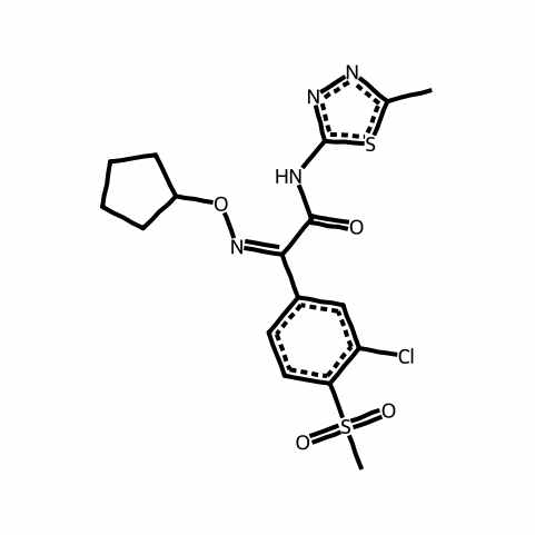 Cc1nnc(NC(=O)C(=NOC2CCCC2)c2ccc(S(C)(=O)=O)c(Cl)c2)s1